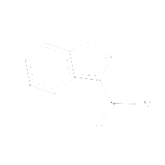 [CH2]c1ccc2scc(C(=O)OC)c2c1